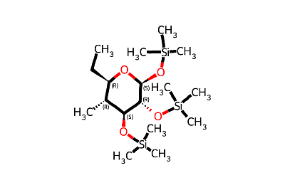 CC[C@H]1O[C@@H](O[Si](C)(C)C)[C@H](O[Si](C)(C)C)[C@@H](O[Si](C)(C)C)[C@@H]1C